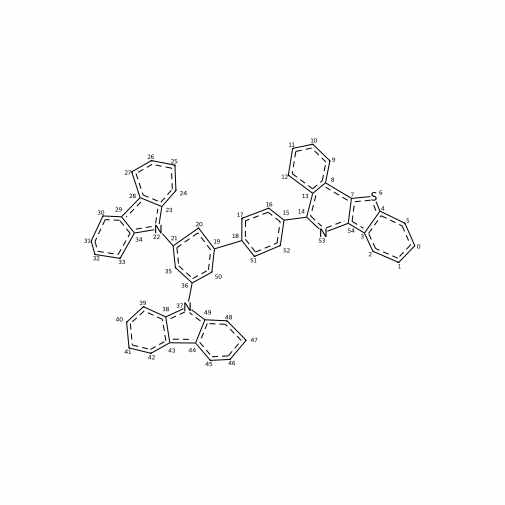 c1ccc2c(c1)sc1c3ccccc3c(-c3ccc(-c4cc(-n5c6ccccc6c6ccccc65)cc(-n5c6ccccc6c6ccccc65)c4)cc3)nc21